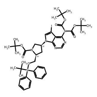 CC(C)(C)OC(=O)N(C(=O)OC(C)(C)C)c1ncnc2c1c(I)cn2[C@H]1C[C@@H](CO[Si](c2ccccc2)(c2ccccc2)C(C)(C)C)N(C(=O)OC(C)(C)C)C1